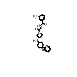 O=C(NCC(=O)N1CC[C@H](NC2CCC(O)(c3ccccn3)CC2)C1)c1cccc(C(F)(F)F)c1